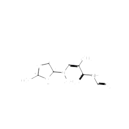 C/C(=C/N(C)C1COC(C)O1)C(=O)NC=O